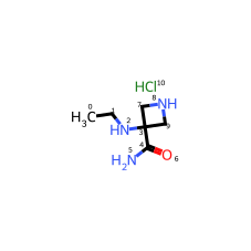 CCNC1(C(N)=O)CNC1.Cl